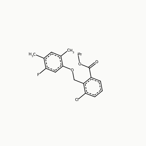 Cc1cc(C)c(OCc2c(Cl)cccc2C(=O)OC(C)C)cc1F